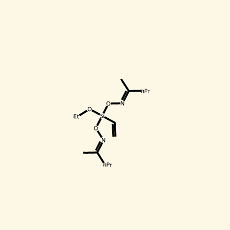 C=C[Si](OCC)(ON=C(C)CCC)ON=C(C)CCC